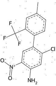 Cc1ccc(-c2cc([N+](=O)[O-])c(N)cc2Cl)c(C(F)(F)F)c1